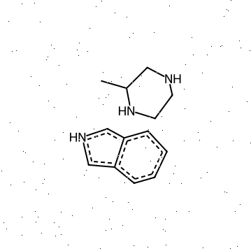 CC1CNCCN1.c1ccc2c[nH]cc2c1